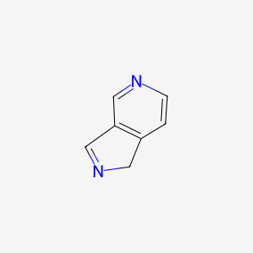 C1=NCc2ccncc21